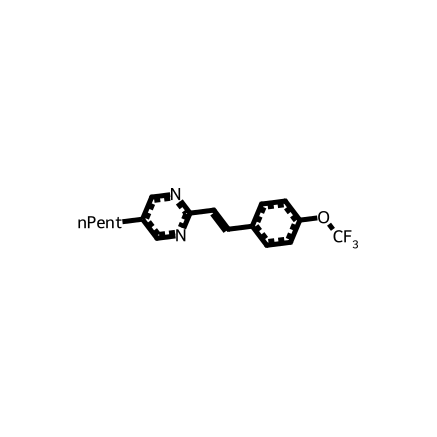 CCCCCc1cnc(C=Cc2ccc(OC(F)(F)F)cc2)nc1